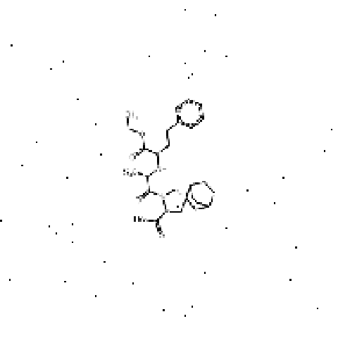 CCOC(=O)[C@@H](CCc1ccccc1)N[C@H](C)C(=O)N1C[C@]2(CC3CCC2CC3)C[C@H]1C(=O)O